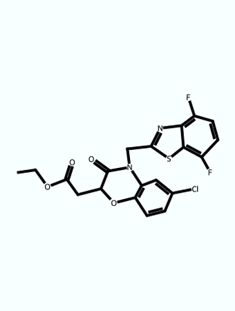 CCOC(=O)CC1Oc2ccc(Cl)cc2N(Cc2nc3c(F)ccc(F)c3s2)C1=O